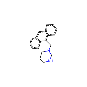 c1ccc2c(CN3CCCNC3)c3ccccc3cc2c1